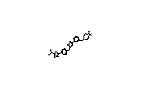 O=S1(=O)CCN(Cc2cccc(-c3cn(Cc4ccc(-c5nnc(C(F)F)o5)cc4)nn3)c2)CC1